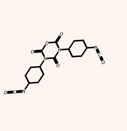 O=C=NC1CCC(n2c(=O)oc(=O)n(C3CCC(N=C=O)CC3)c2=O)CC1